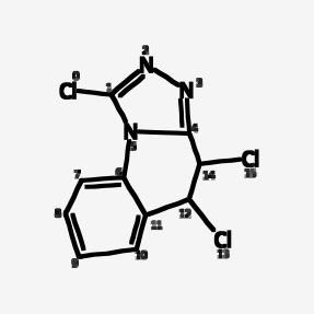 Clc1nnc2n1-c1ccccc1C(Cl)C2Cl